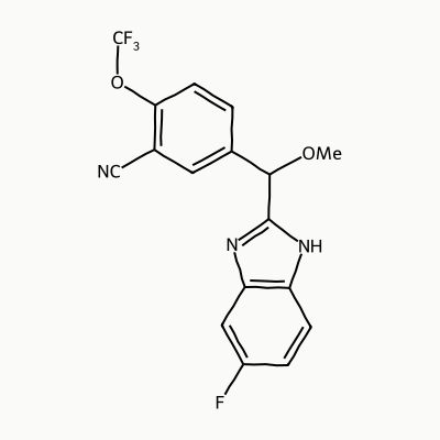 COC(c1ccc(OC(F)(F)F)c(C#N)c1)c1nc2cc(F)ccc2[nH]1